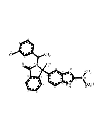 CC(c1cccc(Cl)c1)N1C(=O)c2ccccc2C1(O)c1ccc2[nH]c(N(C)C(=O)O)nc2c1